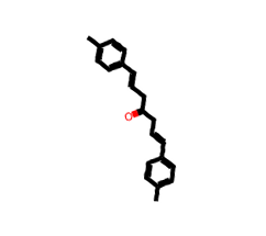 Cc1ccc(C=CCC(=O)CC=Cc2ccc(C)cc2)cc1